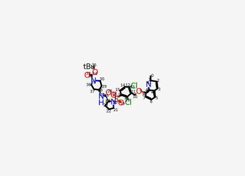 Cc1ccc2cccc(OCc3c(Cl)ccc(S(=O)(=O)N4CCC[C@H]4C(=O)NC4CCN(C(=O)OC(C)(C)C)CC4)c3Cl)c2n1